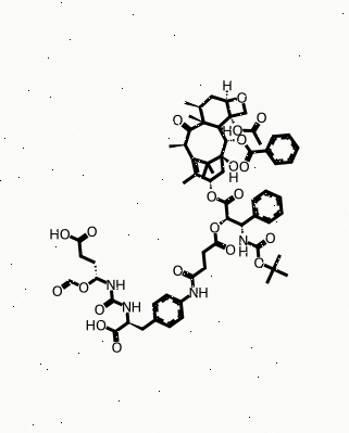 CC(=O)O[C@@]12CO[C@@H]1C[C@H](C)[C@@]1(C)C(=O)[C@H](C)C3=C(C)[C@@H](OC(=O)[C@H](OC(=O)CCC(=O)Nc4ccc(C[C@H](NC(=O)N[C@@H](CCC(=O)O)OC=O)C(=O)O)cc4)[C@@H](NC(=O)OC(C)(C)C)c4ccccc4)C[C@@](O)([C@@H](OC(=O)c4ccccc4)[C@H]21)C3(C)C